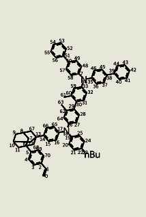 C=Cc1ccc(C23CC4CC(C2)CC(c2ccc(N(c5ccc(CCCC)cc5)c5ccc(-c6ccc(N(c7ccc(-c8ccccc8)cc7)c7ccc(-c8ccccc8)cc7)cc6C)c(C)c5)cc2)(C4)C3)cc1